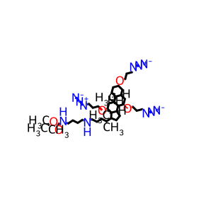 C[C@H](CCCNCCCCNC(=O)OC(C)(C)C)C1CC[C@H]2[C@@H]3[C@H](OCCCN=[N+]=[N-])C[C@@H]4C[C@H](OCCCN=[N+]=[N-])CC[C@]4(C)[C@H]3C[C@H](OCCCN=[N+]=[N-])[C@]12C